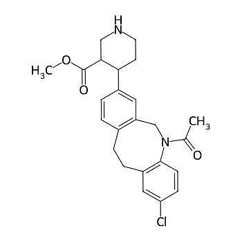 COC(=O)C1CNCCC1c1ccc2c(c1)CN(C(C)=O)c1ccc(Cl)cc1CC2